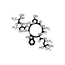 C[C@H](CC(C)(O)CO)NC(=O)[C@H]1Cc2c([nH]c3ccccc23)SC[C@H](NC(O)[C@H](NC(=O)[C@H](C)NO)[C@@H](C)O)C(=O)N2C[C@@H](O)CC2C(=O)N[C@@H](C)C(=O)N1